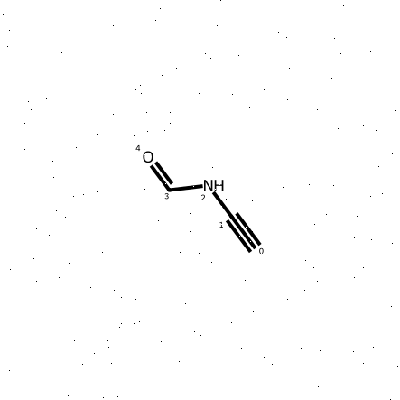 C#CNC=O